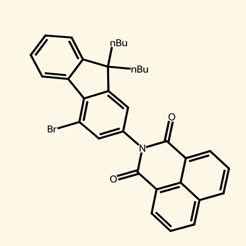 CCCCC1(CCCC)c2ccccc2-c2c(Br)cc(N3C(=O)c4cccc5cccc(c45)C3=O)cc21